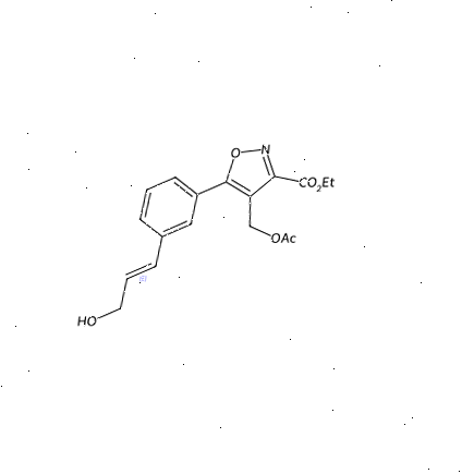 CCOC(=O)c1noc(-c2cccc(/C=C/CO)c2)c1COC(C)=O